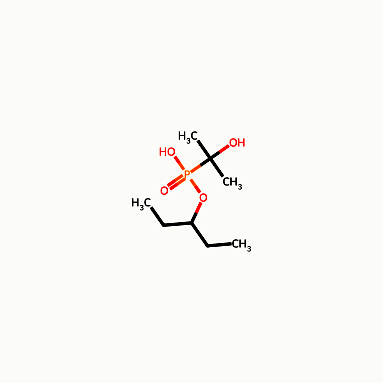 CCC(CC)OP(=O)(O)C(C)(C)O